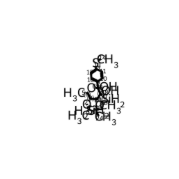 C[SiH2]O[C@@H]1[C@H](C)OC(O)(c2ccc(SC)cc2)[C@](O)([SiH2]C)[C@@H]1O[SiH2]C